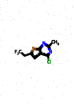 Cc1nc(Cl)c2cc(CC(F)(F)F)sc2n1